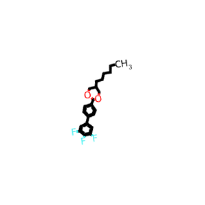 CCCCCCC1COC(c2ccc(-c3cc(F)c(F)c(F)c3)cc2)OC1